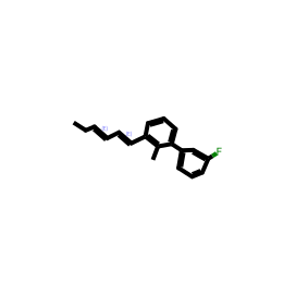 CC/C=C/C=C/c1cccc(-c2cccc(F)c2)c1C